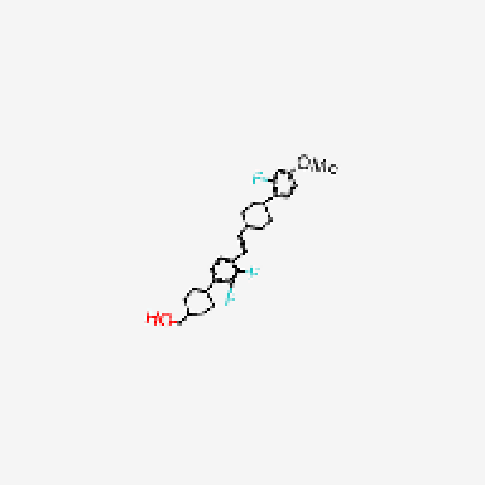 COc1ccc(C2CCC(/C=C/c3ccc(C4CCC(CO)CC4)c(F)c3F)CC2)c(F)c1